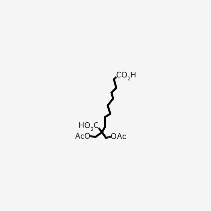 CC(=O)OCC(CCCCCCCCC(=O)O)(COC(C)=O)C(=O)O